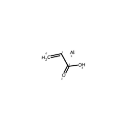 C=CC(=O)O.[Al]